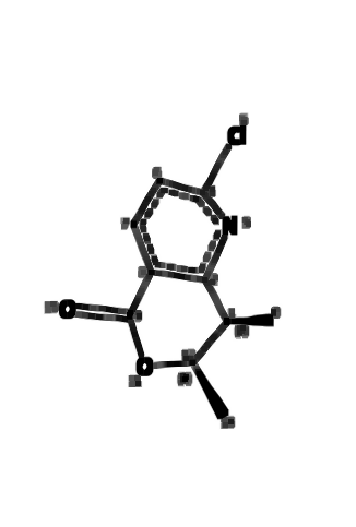 C[C@@H]1c2nc(Cl)ccc2C(=O)O[C@@H]1C